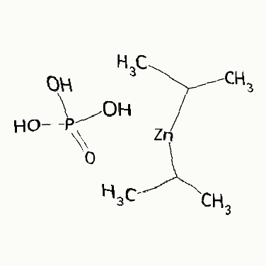 C[CH](C)[Zn][CH](C)C.O=P(O)(O)O